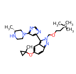 C[C@@H]1CN(c2cc(-c3c4cc(OC5(C)CC5)ccc4nn3COCC[Si](C)(C)C)ncn2)CCN1